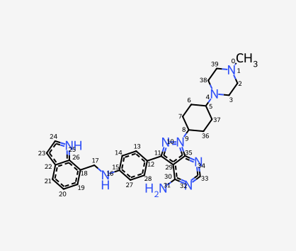 CN1CCN(C2CCC(n3nc(-c4ccc(NCc5cccc6cc[nH]c56)cc4)c4c(N)ncnc43)CC2)CC1